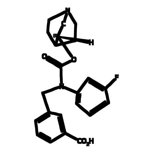 O=C(O)c1cccc(CN(C(=O)O[C@H]2CN3CCC2CC3)c2cccc(F)c2)c1